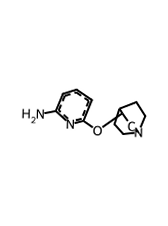 Nc1cccc(OC2CN3CCC2CC3)n1